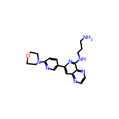 NCCCNc1nc(-c2ccc(N3CCOCC3)nc2)cc2nccnc12